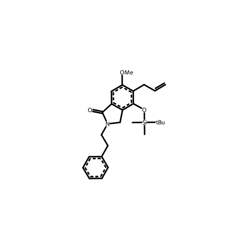 C=CCc1c(OC)cc2c(c1O[Si](C)(C)C(C)(C)C)CN(CCc1ccccc1)C2=O